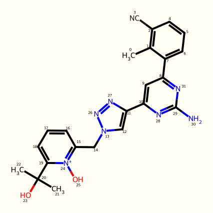 Cc1c(C#N)cccc1-c1cc(-c2cn(Cc3cccc(C(C)(C)O)[n+]3O)nn2)nc(N)n1